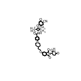 CC1(C)[C@H](NC(=O)c2ccc(N3CCC(CCOc4ccc5c(c4)C(=O)N(C4CCC(=O)NC4=O)C5=O)CC3)cc2)C(C)(C)[C@H]1Oc1ccc(C#N)c(Cl)c1